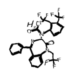 CC(=O)N(c1cccc(C(F)(F)F)c1C(F)(F)F)[C@H]1N=C(c2ccccc2)c2ccccc2N(CC(F)(F)F)C1=O